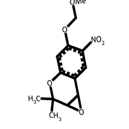 COCOc1cc2c(cc1[N+](=O)[O-])C1OC1C(C)(C)O2